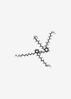 CCCCCCCCCCc1cccc(OPOc2cccc(CCCCCCCCCC)c2CCCCCCCCCC)c1CCCCCCCCCC